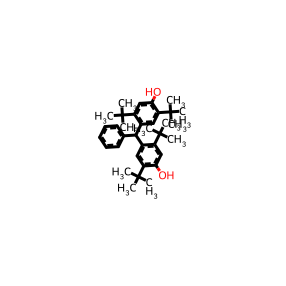 CC(C)(C)c1cc(C(c2ccccc2)c2cc(C(C)(C)C)c(O)cc2C(C)(C)C)c(C(C)(C)C)cc1O